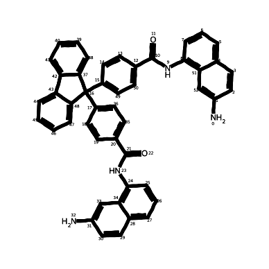 Nc1ccc2cccc(NC(=O)c3ccc(C4(c5ccc(C(=O)Nc6cccc7ccc(N)cc67)cc5)c5ccccc5-c5ccccc54)cc3)c2c1